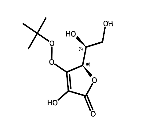 CC(C)(C)OOC1=C(O)C(=O)O[C@@H]1[C@@H](O)CO